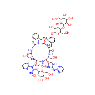 CC(c1ccccc1)C1NC(=O)CNC(=O)C(CO)NC(=O)C(C(O)C2CN(c3ncccn3)C(=N)N2C2OC(CO)C(O)C(O)C2O)NC(=O)C(C(O)C2CN/C(=N/c3ncccn3)N2)NC(=O)C(Cc2ccc(OC3OC(CO)C(OC4OC(CO)C(O)C(O)C4O)C(O)C3O)cc2)NC1=O